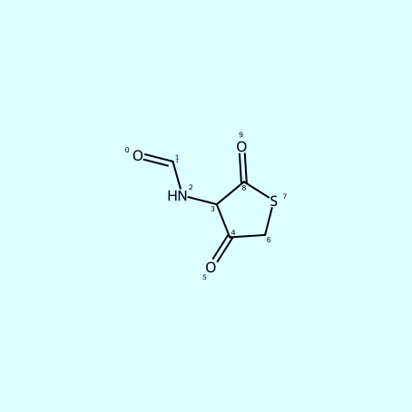 O=[C]NC1C(=O)CSC1=O